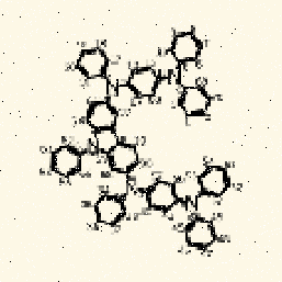 c1ccc(N(c2ccccc2)c2ccc(N(c3ccccc3)c3ccc4c(c3)c3ccc(N(c5ccccc5)c5ccc(N(c6ccccc6)c6ccccc6)cc5)cc3n4-c3ccccc3)cc2)cc1